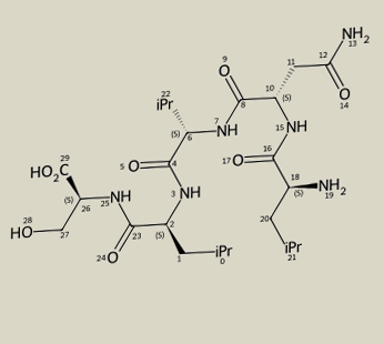 CC(C)C[C@H](NC(=O)[C@@H](NC(=O)[C@H](CC(N)=O)NC(=O)[C@@H](N)CC(C)C)C(C)C)C(=O)N[C@@H](CO)C(=O)O